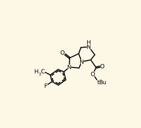 Cc1cc(N2CN3C(C(=O)OC(C)(C)C)CNCC3C2=O)ccc1F